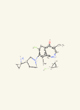 N#Cc1c(N2CC[C@@H](C3(N)CC3)C2)c(F)cc2c(=O)c(C(=O)O)cn([C@@H]3C[C@@H]3F)c12